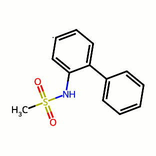 CS(=O)(=O)Nc1c[c]ccc1-c1ccccc1